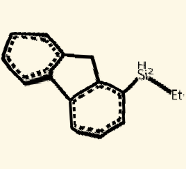 C[CH][SiH2]c1cccc2c1Cc1ccccc1-2